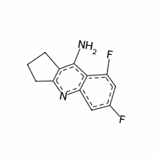 Nc1c2c(nc3cc(F)cc(F)c13)CCC2